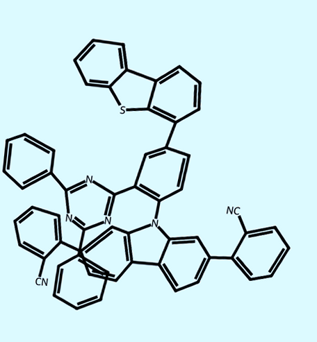 N#Cc1ccccc1-c1ccc2c3ccc(-c4ccccc4C#N)cc3n(-c3ccc(-c4cccc5c4sc4ccccc45)cc3-c3nc(-c4ccccc4)nc(-c4ccccc4)n3)c2c1